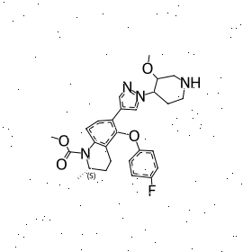 COC(=O)N1c2ccc(-c3cnn(C4CCNCC4OC)c3)c(Oc3ccc(F)cc3)c2CC[C@@H]1C